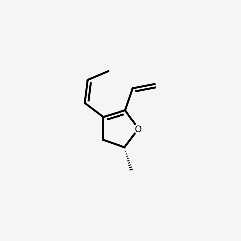 C=CC1=C(/C=C\C)C[C@@H](C)O1